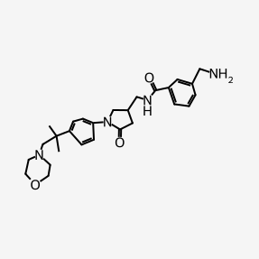 CC(C)(CN1CCOCC1)c1ccc(N2CC(CNC(=O)c3cccc(CN)c3)CC2=O)cc1